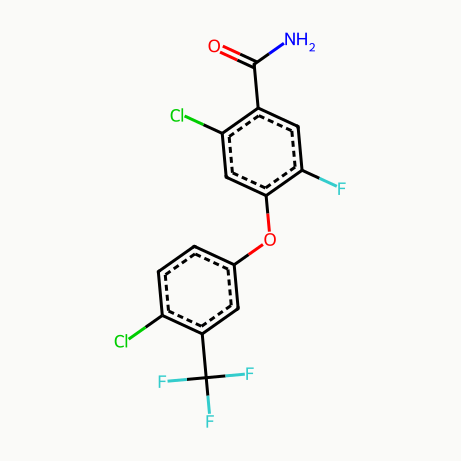 NC(=O)c1cc(F)c(Oc2ccc(Cl)c(C(F)(F)F)c2)cc1Cl